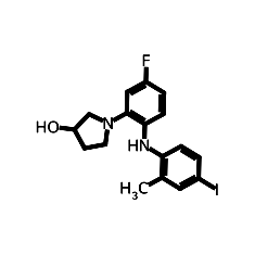 Cc1cc(I)ccc1Nc1ccc(F)cc1N1CCC(O)C1